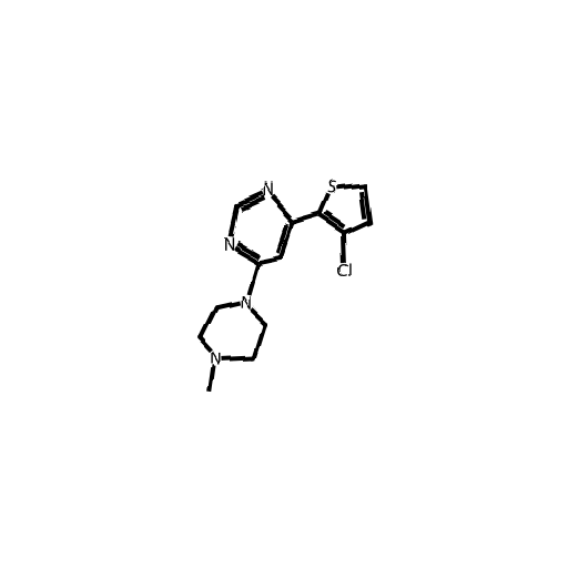 CN1CCN(c2cc(-c3sccc3Cl)ncn2)CC1